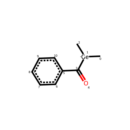 [CH3][Ge]([CH3])[C](=O)c1ccccc1